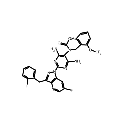 COC(=O)N(Cc1ccccc1OC(F)(F)F)c1c(N)nc(-n2nc(Cc3ccccc3F)c3ncc(F)cc32)nc1N